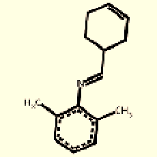 Cc1cccc(C)c1N=CC1CC=CCC1